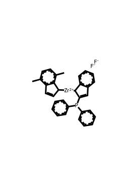 Cc1ccc(C)c2c1C=C[CH]2[Zr+2][CH]1C(P(c2ccccc2)c2ccccc2)=Cc2ccccc21.[F-].[F-]